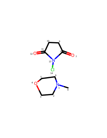 CN1CCOCC1.O=C1CCC(=O)N1Cl